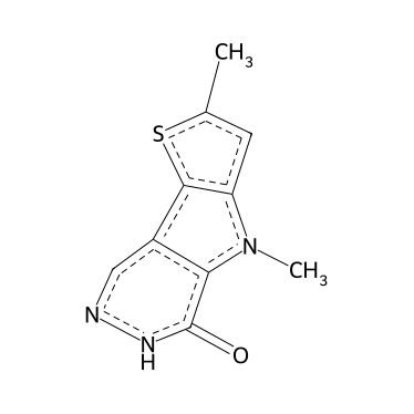 Cc1cc2c(s1)c1cn[nH]c(=O)c1n2C